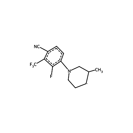 CC1[CH]CCN(c2ccc(C#N)c(C(F)(F)F)c2F)C1